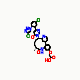 C[C@@H]1CCC[C@H](n2cnc(-c3cc(Cl)ccc3-n3cc(Cl)nn3)cc2=O)c2cc(ccn2)-c2ccc(OCC(=O)O)cc2NC1=O